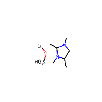 CC1CN(C)C(C)N1C.CCOS(=O)(=O)O